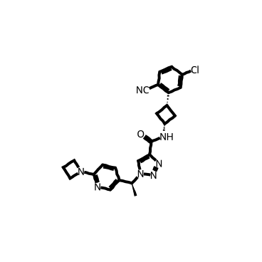 C[C@@H](c1ccc(N2CCC2)nc1)n1cc(C(=O)N[C@H]2C[C@@H](c3cc(Cl)ccc3C#N)C2)nn1